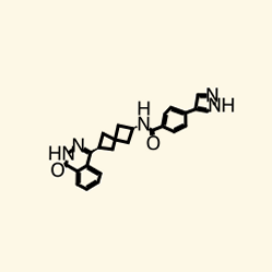 O=C(N[C@H]1CC2(C1)C[C@H](c1n[nH]c(=O)c3ccccc31)C2)c1ccc(-c2cn[nH]c2)cc1